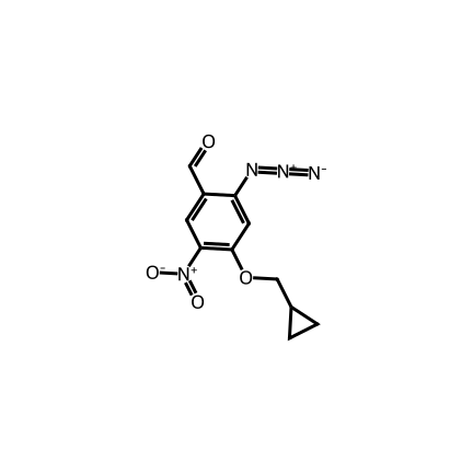 [N-]=[N+]=Nc1cc(OCC2CC2)c([N+](=O)[O-])cc1C=O